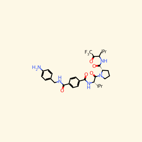 CC(C)C(NC(=O)[C@@H]1CCCN1C(=O)[C@@H](NC(=O)c1ccc(C(=O)NCc2ccc(N)cc2)cc1)C(C)C)C(=O)C(F)(F)F